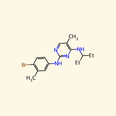 CCC(CC)Nc1nc(Nc2c[c]c(Br)c(C)c2)ncc1C